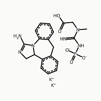 CN(CC(=O)O)C(=N)NP(=O)([O-])[O-].NC1=NCC2c3ccccc3Cc3ccccc3N12.[K+].[K+]